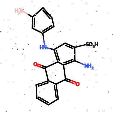 Bc1cccc(Nc2cc(S(=O)(=O)O)c(N)c3c2C(=O)c2ccccc2C3=O)c1